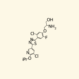 CC(C)Oc1ncc(-c2nnc(-c3cc(F)c(OCC(N)CO)cc3Cl)s2)cc1Cl